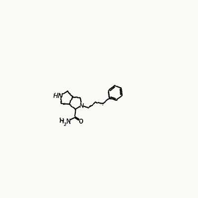 NC(=O)C1C2CNCC2CN1CC[CH]c1ccccc1